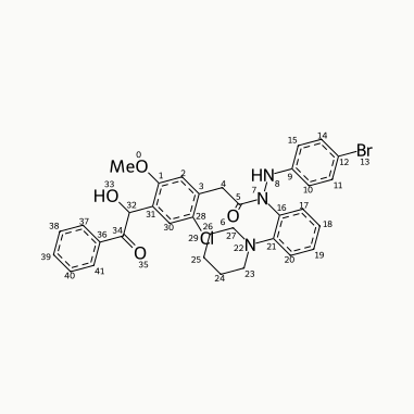 COc1cc(CC(=O)N(Nc2ccc(Br)cc2)c2ccccc2N2CCCCC2)c(Cl)cc1C(O)C(=O)c1ccccc1